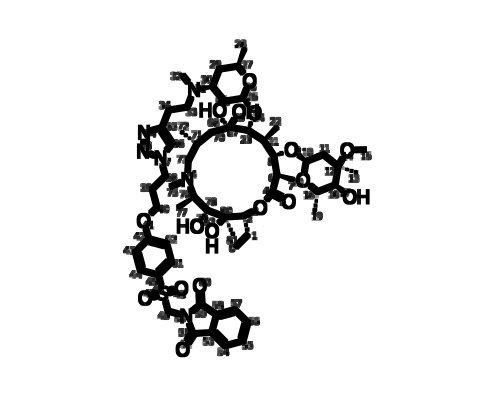 CC[C@H]1OC(=O)[C@H](C)[C@@H](O[C@H]2C[C@@](C)(OC)[C@@H](O)[C@H](C)O2)[C@H](C)[C@@H](O[C@@H]2O[C@H](C)C[C@H](N(C)CCc3cn(CCCOc4ccc(S(=O)(=O)CN5C(=O)c6ccccc6C5=O)cc4)nn3)[C@H]2O)[C@](C)(O)C[C@@H](C)CN(C)[C@H](C)[C@@H](O)[C@]1(C)O